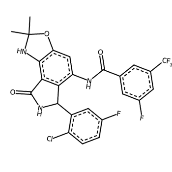 CC1(C)Nc2c(cc(NC(=O)c3cc(F)cc(C(F)(F)F)c3)c3c2C(=O)NC3c2cc(F)ccc2Cl)O1